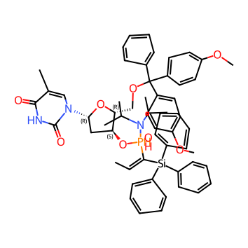 CC=C([Si](c1ccccc1)(c1ccccc1)c1ccccc1)[PH](O)(O[C@H]1C[C@H](n2cc(C)c(=O)[nH]c2=O)O[C@@H]1COC(c1ccccc1)(c1ccc(OC)cc1)c1ccc(OC)cc1)N(C(C)C)C(C)C